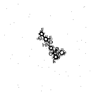 COc1ccc(F)cc1-c1ccc(C(=O)NC2CCC(n3c(=O)c4cc(F)cnc4n(C4CCSCC4)c3=O)CC2)c(F)c1